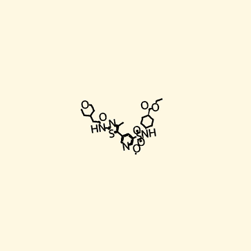 CCOC(=O)[C@H]1CC[C@H](NS(=O)(=O)c2cc(-c3sc(NC(=O)CC4CCOCC4)nc3C)cnc2OC)CC1